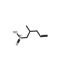 C=CCC(C)C[PH](=O)O